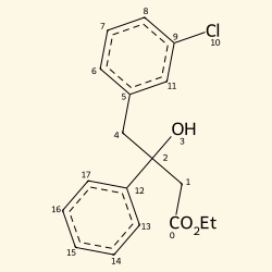 CCOC(=O)CC(O)(Cc1cccc(Cl)c1)c1ccccc1